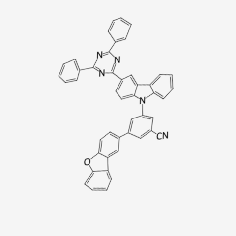 N#Cc1cc(-c2ccc3oc4ccccc4c3c2)cc(-n2c3ccccc3c3cc(-c4nc(-c5ccccc5)nc(-c5ccccc5)n4)ccc32)c1